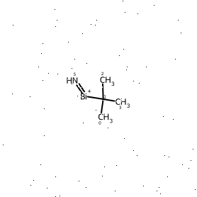 C[C](C)(C)[Bi]=[NH]